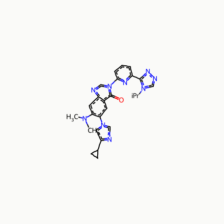 CC(C)n1cnnc1-c1cccc(-n2cnc3cc(N(C)C)c(-n4cnc(C5CC5)c4)cc3c2=O)n1